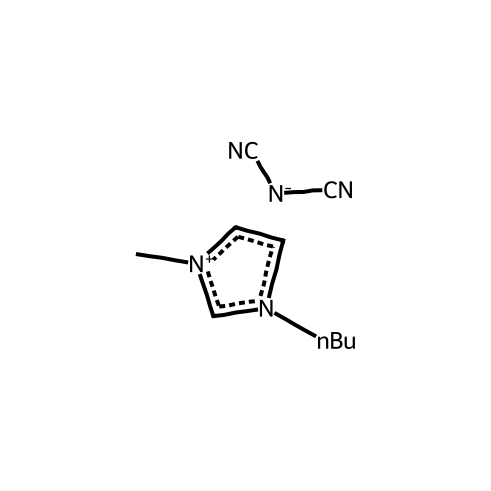 CCCCn1cc[n+](C)c1.N#C[N-]C#N